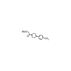 COCC(=O)N1CCN(c2ccc(C)cc2)CC1